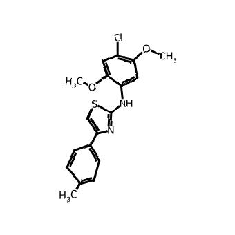 COc1cc(Nc2nc(-c3ccc(C)cc3)cs2)c(OC)cc1Cl